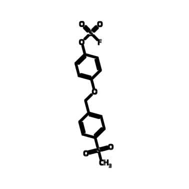 CS(=O)(=O)c1ccc(COc2ccc(OS(=O)(=O)F)cc2)cc1